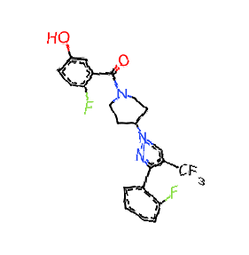 O=C(c1cc(O)ccc1F)N1CCC(n2cc(C(F)(F)F)c(-c3ccccc3F)n2)CC1